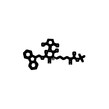 CC(C)(C)OC(=O)NCCCC[C@H](NC(=O)OCC1c2ccccc2-c2ccccc21)C(=O)ON1C(=O)CCC1=O